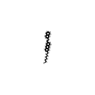 CCCCCCCCc1ccc2cc3cc(C=Cc4ccc5ccccc5c4)ccc3cc2c1